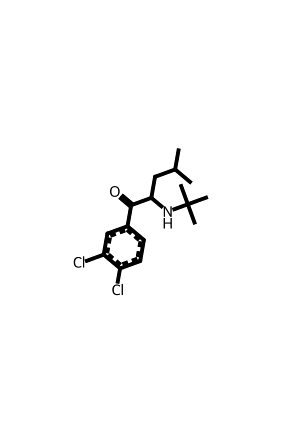 CC(C)CC(NC(C)(C)C)C(=O)c1ccc(Cl)c(Cl)c1